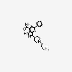 CCSN1CCC(c2n[nH]c3c(C(N)=O)cc(-c4ccccc4)nc23)CC1